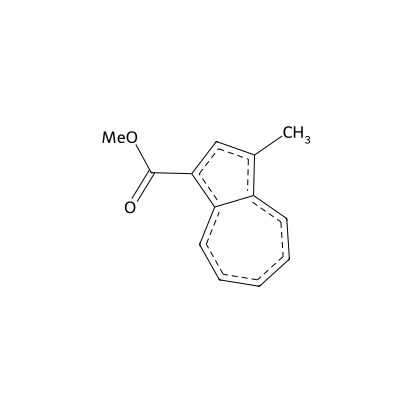 COC(=O)c1cc(C)c2cccccc1-2